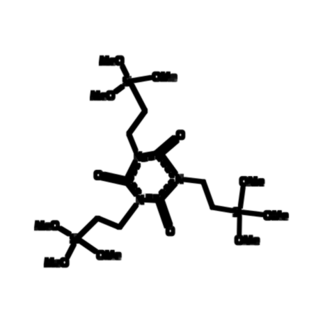 CO[Si](CCn1c(=O)n(CC[Si](OC)(OC)OC)c(=O)n(CC[Si](OC)(OC)OC)c1=O)(OC)OC